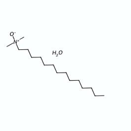 CCCCCCCCCCCCCC[N+](C)(C)[O-].O